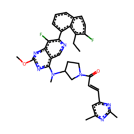 CCc1c(F)ccc2cccc(-c3ncc4c(N(C)C5CCN(C(=O)/C=C/c6cc(C)nc(C)n6)C5)nc(OC)nc4c3F)c12